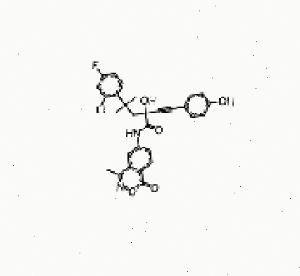 Cc1noc(=O)c2ccc(NC(=O)C(O)(C#Cc3ccc(O)cc3)CC(C)(C)c3ccc(F)cc3Cl)cc12